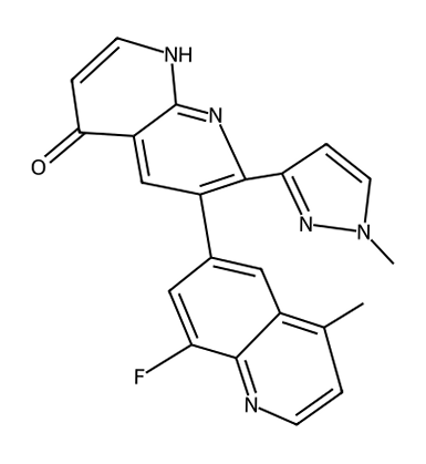 Cc1ccnc2c(F)cc(-c3cc4c(=O)cc[nH]c4nc3-c3ccn(C)n3)cc12